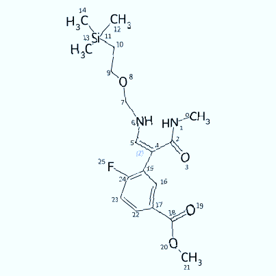 CNC(=O)/C(=C\NCOCC[Si](C)(C)C)c1cc(C(=O)OC)ccc1F